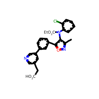 CCOC(=O)N(c1ccccc1Cl)c1c(C)noc1-c1cccc(-c2cncc(CC(=O)O)c2)c1